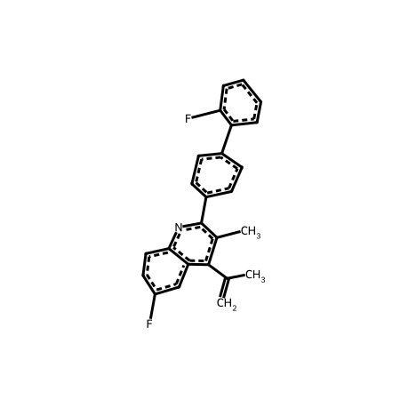 C=C(C)c1c(C)c(-c2ccc(-c3ccccc3F)cc2)nc2ccc(F)cc12